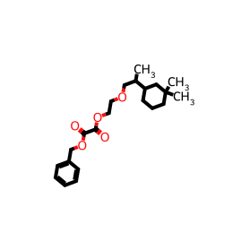 CC(COCCOC(=O)C(=O)OCc1ccccc1)C1CCCC(C)(C)C1